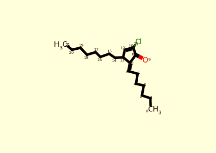 CCCCCC/C=C1\C(=O)C(Cl)=CC1CCCCCCCC